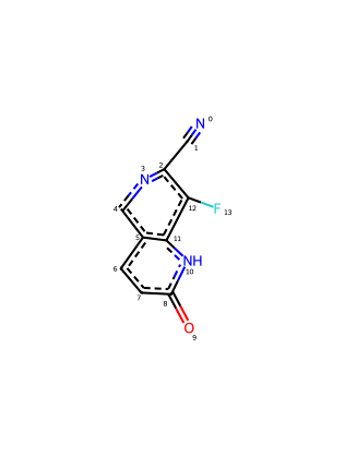 N#Cc1ncc2ccc(=O)[nH]c2c1F